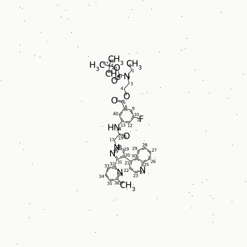 CCN(CCOC(=O)c1cc(F)cc(NC(=O)Cn2cc(-c3ccnc4ccccc34)c(-c3cccc(C)n3)n2)c1)C(=O)OC(C)(C)C